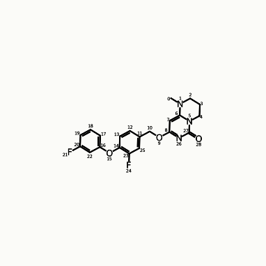 CN1CCCn2c1cc(OCc1ccc(Oc3cccc(F)c3)c(F)c1)nc2=O